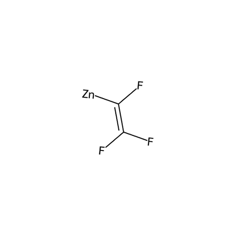 FC(F)=[C](F)[Zn]